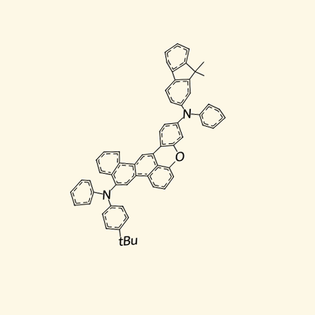 CC(C)(C)c1ccc(N(c2ccccc2)c2cc3c4cccc5c4c(cc3c3ccccc23)-c2ccc(N(c3ccccc3)c3ccc4c(c3)C(C)(C)c3ccccc3-4)cc2O5)cc1